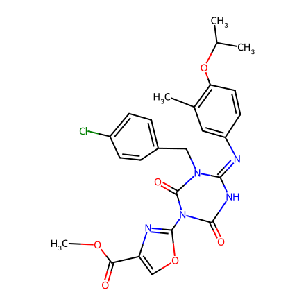 COC(=O)c1coc(-n2c(=O)[nH]/c(=N/c3ccc(OC(C)C)c(C)c3)n(Cc3ccc(Cl)cc3)c2=O)n1